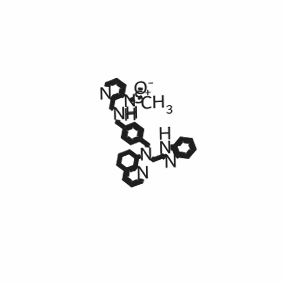 C[S+]([O-])Nc1cccnc1CNCc1ccc(CN(Cc2nc3ccccc3[nH]2)C2CCCc3cccnc32)cc1